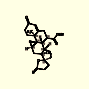 COC(=O)[C@@H]1CC2=CC(=O)CC[C@]2(C)[C@@]23O[C@@H]2C[C@@]2(C)[C@@H](CC[C@@]24CCC(=O)O4)[C@@H]13